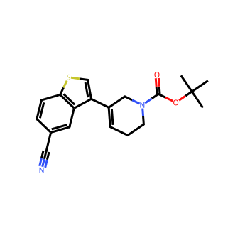 CC(C)(C)OC(=O)N1CCC=C(c2csc3ccc(C#N)cc23)C1